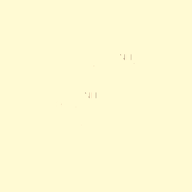 C=C(C)C(=O)NCC(C)(C)CN